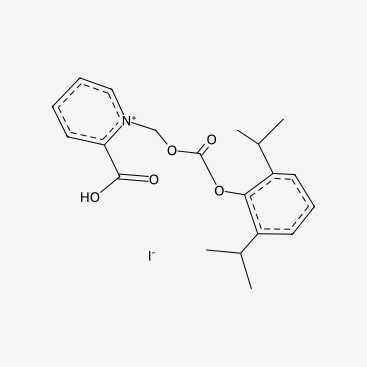 CC(C)c1cccc(C(C)C)c1OC(=O)OC[n+]1ccccc1C(=O)O.[I-]